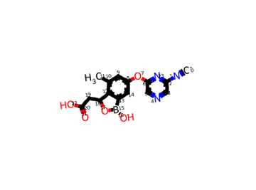 [C-]#[N+]c1cncc(Oc2cc(C)c3c(c2)B(O)OC3CC(=O)O)n1